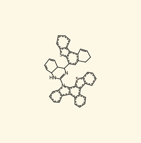 C1=CC2NC(n3c4ccccc4c4c5ccccc5c5c6ccccc6sc5c43)=NC(c3cc4c(c5c3sc3ccccc35)C=CCC4)C2C=C1